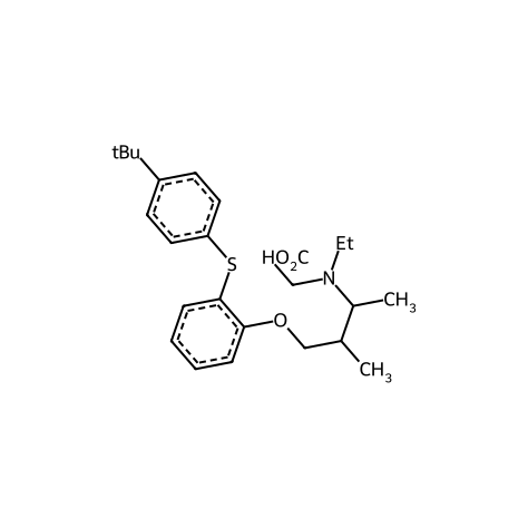 CCN(CC(=O)O)C(C)C(C)COc1ccccc1Sc1ccc(C(C)(C)C)cc1